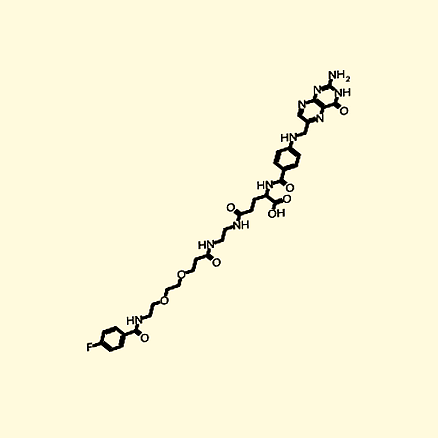 Nc1nc2ncc(CNc3ccc(C(=O)NC(CCC(=O)NCCNC(=O)CCOCCOCCNC(=O)c4ccc(F)cc4)C(=O)O)cc3)nc2c(=O)[nH]1